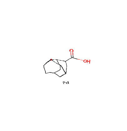 O=C(O)C1C2CC3CC(C2)CC1C3.[Pd]